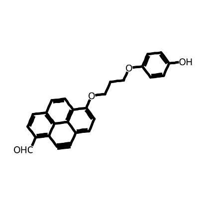 O=Cc1ccc2ccc3c(OCCCOc4ccc(O)cc4)ccc4c#cc1c2c43